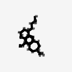 BN1CCc2cc3c(c(Br)c2CC1)OCCN3CCOC